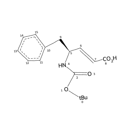 CC(C)(C)OC(=O)N[C@H](/C=C/C(=O)O)Cc1ccccc1